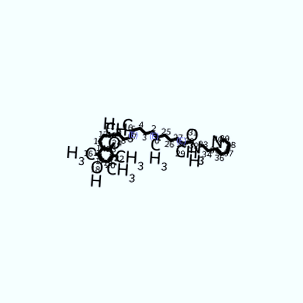 C/C(=C\CC/C(C)=C/CCC1(C)CCc2c(C)c(O)c(C)c(C)c2O1)CC/C=C(\C)C(=O)NCCc1ccccn1